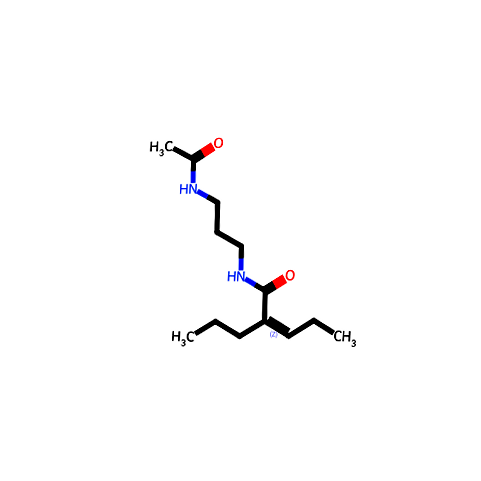 CC/C=C(/CCC)C(=O)NCCCNC(C)=O